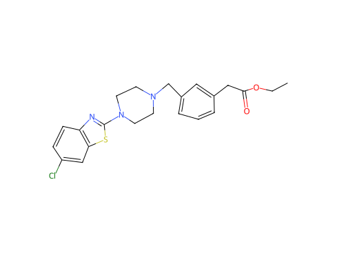 CCOC(=O)Cc1cccc(CN2CCN(c3nc4ccc(Cl)cc4s3)CC2)c1